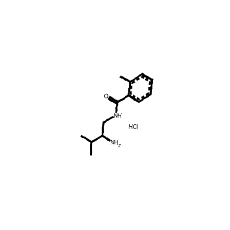 Cc1ccccc1C(=O)NCC(N)C(C)C.Cl